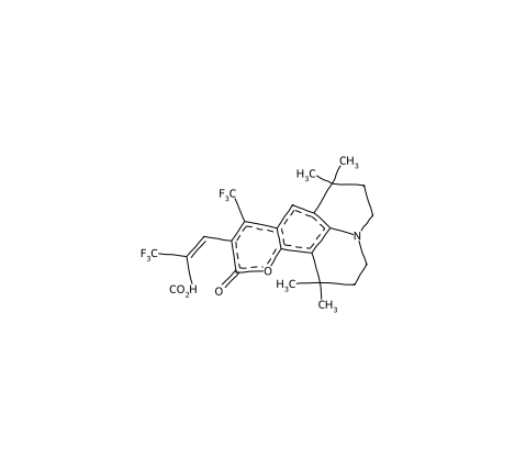 CC1(C)CCN2CCC(C)(C)c3c2c1cc1c(C(F)(F)F)c(/C=C(\C(=O)O)C(F)(F)F)c(=O)oc31